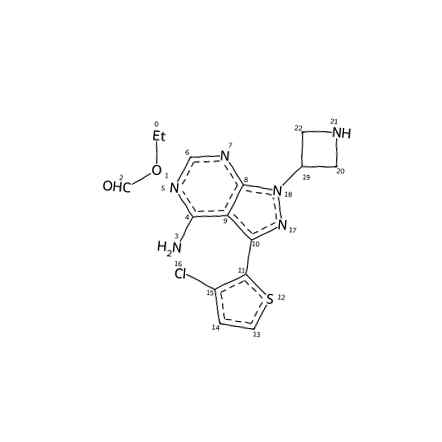 CCOC=O.Nc1ncnc2c1c(-c1sccc1Cl)nn2C1CNC1